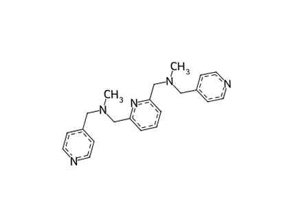 CN(Cc1ccncc1)Cc1cccc(CN(C)Cc2ccncc2)n1